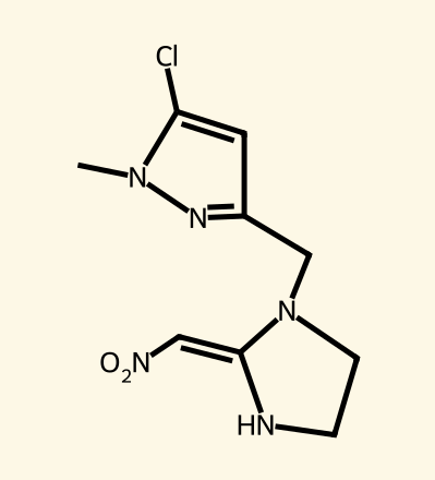 Cn1nc(CN2CCNC2=C[N+](=O)[O-])cc1Cl